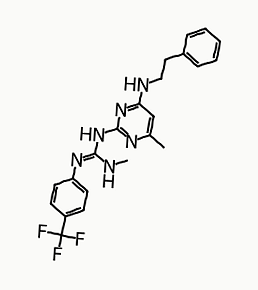 CN/C(=N\c1ccc(C(F)(F)F)cc1)Nc1nc(C)cc(NCCc2ccccc2)n1